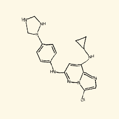 N#Cc1cnc2c(NC3CC3)cc(Nc3ccc(N4CNCN4)cc3)nn12